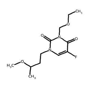 CCOCn1c(=O)c(F)cn(CCC(C)OC)c1=O